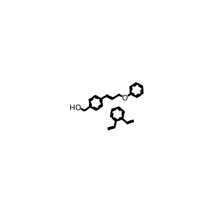 C=Cc1ccccc1C=C.OCc1ccc(C=CCOc2ccccc2)cc1